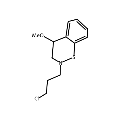 COC1CN(CCCCl)Sc2ccccc21